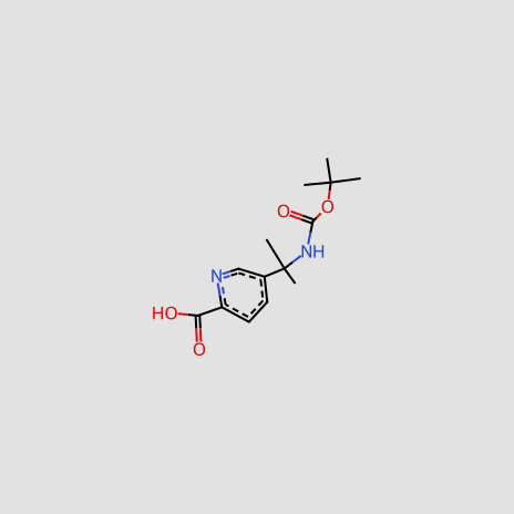 CC(C)(C)OC(=O)NC(C)(C)c1ccc(C(=O)O)nc1